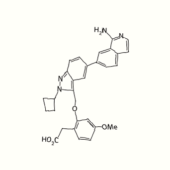 COc1ccc(CC(=O)O)c(OCc2c3cc(-c4ccc5ccnc(N)c5c4)ccc3nn2C2CCC2)c1